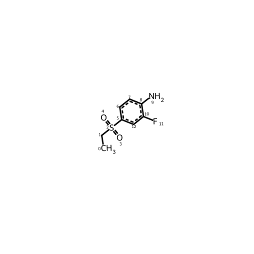 CCS(=O)(=O)c1ccc(N)c(F)c1